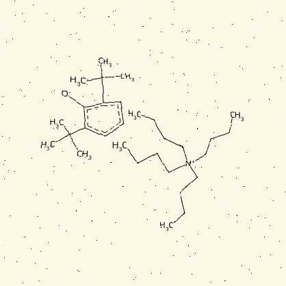 CC(C)(C)c1cccc(C(C)(C)C)c1[O-].CCCC[N+](CCCC)(CCCC)CCCC